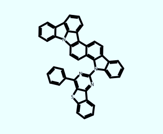 c1ccc(-c2nc(-n3c4ccccc4c4ccc5c(ccc6c5c5cccc7c8ccccc8n6c75)c43)nc3c2sc2ccccc23)cc1